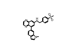 Cn1ccc2ccc(-c3cc(NCc4ccc(S(C)(=O)=O)cc4)cc4nccnc34)cc21